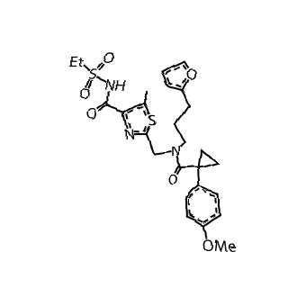 CCS(=O)(=O)NC(=O)c1nc(CN(CCCc2ccco2)C(=O)C2(c3ccc(OC)cc3)CC2)sc1C